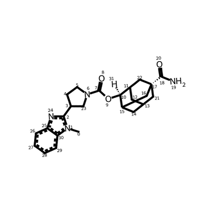 Cn1c(C2CCN(C(=O)O[C@H]3C4CC5CC3C[C@](C(N)=O)(C5)C4)C2)nc2ccccc21